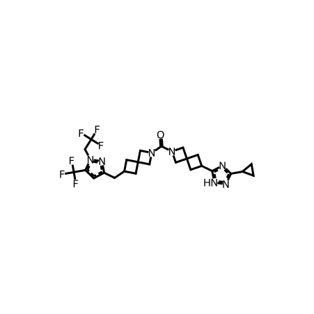 O=C(N1CC2(CC(Cc3cc(C(F)(F)F)n(CC(F)(F)F)n3)C2)C1)N1CC2(CC(c3nc(C4CC4)n[nH]3)C2)C1